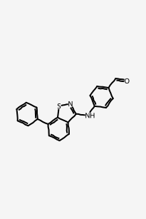 O=Cc1ccc(Nc2nsc3c(-c4ccccc4)cccc23)cc1